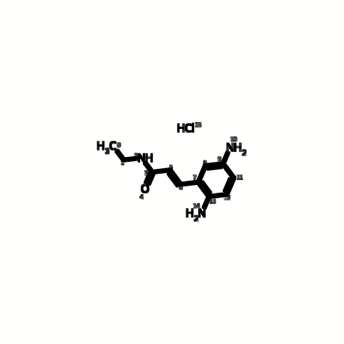 CCNC(=O)C=Cc1cc(N)ccc1N.Cl